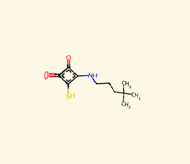 CC(C)(C)CCCNc1c(S)c(=O)c1=O